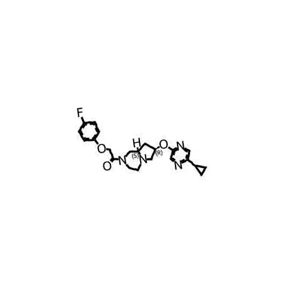 O=C(COc1ccc(F)cc1)N1CCN2C[C@H](Oc3cnc(C4CC4)cn3)C[C@H]2C1